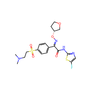 CN(C)CCS(=O)(=O)c1ccc(/C(=N\O[C@@H]2CCOC2)C(=O)Nc2ncc(F)s2)cc1